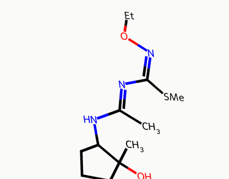 CCO/N=C(\N=C(/C)NC1CCCC1(C)O)SC